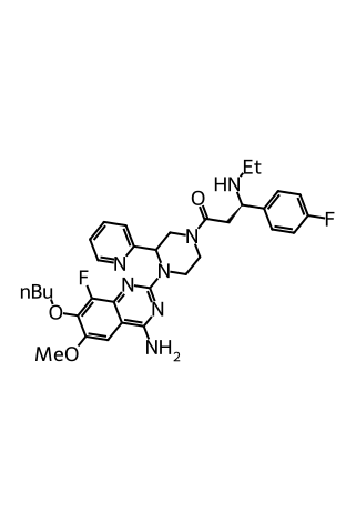 CCCCOc1c(OC)cc2c(N)nc(N3CCN(C(=O)C[C@@H](NCC)c4ccc(F)cc4)CC3c3ccccn3)nc2c1F